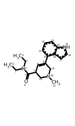 CCN(CC)C(=O)C1C=C(c2cccc3[nH]ccc23)CN(C)C1